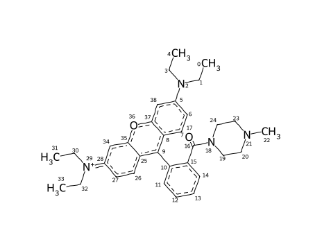 CCN(CC)c1ccc2c(-c3ccccc3C(=O)N3CCN(C)CC3)c3ccc(=[N+](CC)CC)cc-3oc2c1